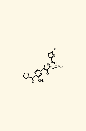 COC[C@@H](NC(=O)c1ccc(Br)s1)C(=O)Nc1ccc(C(=O)N2CCCC2)c(C)c1